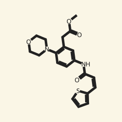 COC(=O)Cc1cc(NC(=O)/C=C\c2cccs2)ccc1N1CCOCC1